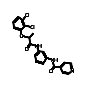 CC(Oc1cccc(Cl)c1Cl)C(=O)Nc1cccc(NC(=O)c2ccncc2)c1